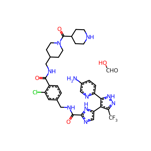 Nc1ccc(-c2[nH]nc(C(F)(F)F)c2-c2cnc(C(=O)NCc3ccc(C(=O)NCC4CCN(C(=O)C5CCNCC5)CC4)c(Cl)c3)[nH]2)nc1.O=CO